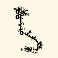 CC/N=c1\ccc2c(-c3ccccc3C(=O)N(C)CCCC(=O)NCCNC(=O)c3cccc(OCC(OCCOCC(=O)NCC#Cc4cn([C@H]5CC(O[C@H](C)SSC)[C@@H](COP(=O)(O)OP(=O)(O)OP(=O)(O)O)O5)c(=O)[nH]c4=O)SSC(C)(C)C)c3)c3ccc(NCC)c(S(=O)(=O)O)c3oc-2c1S(=O)(=O)O